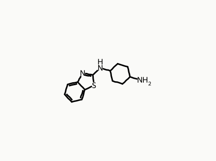 NC1CCC(Nc2nc3ccccc3s2)CC1